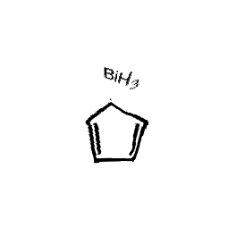 [BiH3].[CH]1C=CC=C1